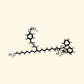 CCCCCCCCCC(CCCCCCCCCO[Si](c1ccccc1)(c1ccccc1)C(C)(C)C)CCOCc1ccc(OC)cc1